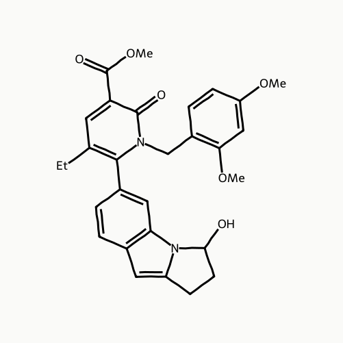 CCc1cc(C(=O)OC)c(=O)n(Cc2ccc(OC)cc2OC)c1-c1ccc2cc3n(c2c1)C(O)CC3